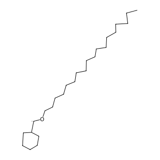 CCCCCCCCCCCCCCCCCCO[CH]C1CCCCC1